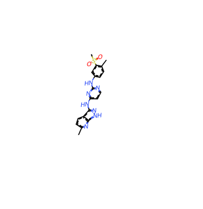 Cc1ccc2c(Nc3ccnc(Nc4ccc(C)c(S(C)(=O)=O)c4)n3)n[nH]c2n1